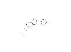 Clc1ccc(-c2ccc3ncc(N4CCCCC4)nc3c2)cc1